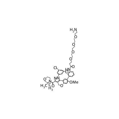 COc1cc2c(cc1-c1cccc(NC(=O)CCOCCOCCOCCOCCN)c1)-c1c(c(C(=O)N3CCOCC3(C)C)nn1-c1cc(Cl)cc(Cl)c1)CO2